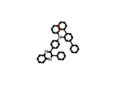 c1ccc(-c2ccc(-c3ccccc3)c(N(c3ccccc3)c3ccc(-c4nc5ccccc5nc4-c4ccccc4)cc3)c2)cc1